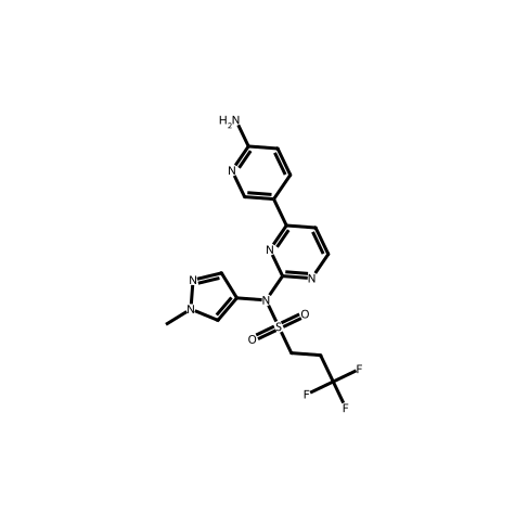 Cn1cc(N(c2nccc(-c3ccc(N)nc3)n2)S(=O)(=O)CCC(F)(F)F)cn1